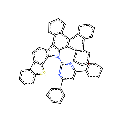 c1ccc(-c2cc(-c3ccccc3)nc(-n3c4c(ccc5c6ccccc6sc54)c4c5ccccc5c5c6ccccc6c6ccccc6c5c43)n2)cc1